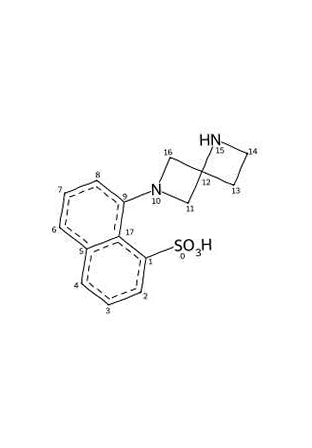 O=S(=O)(O)c1cccc2cccc(N3CC4(CCN4)C3)c12